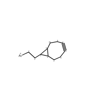 CC(=O)CCC1C2CCC#CCCC21